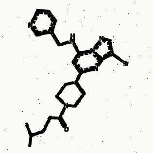 CC(C)CCC(=O)N1CCC(c2cc(NCc3cccnc3)n3ncc(Br)c3n2)CC1